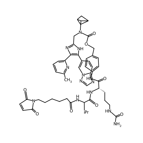 Cc1cccc(-c2nc(CN(C(=O)OCc3ccc(NC(=O)[C@H](CCCNC(N)=O)NC(=O)C(NC(=O)CCCCCN4C(=O)C=CC4=O)C(C)C)cc3)C3C4CC3C4)[nH]c2-c2ccc3ncnn3c2)n1